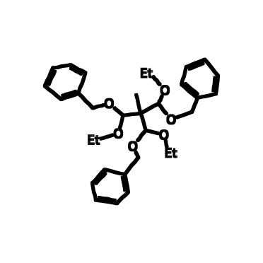 CCOC(OCc1ccccc1)C(C)(C(OCC)OCc1ccccc1)C(OCC)OCc1ccccc1